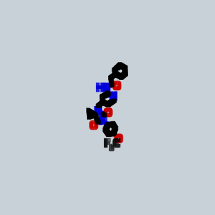 O=C(Cc1ccccc1)Nc1cc(CN2C(=O)N(c3ccc(OC(F)(F)F)cc3)C(=O)C23CC3)ccn1